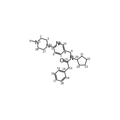 CN1CCN(c2ccc(CN(C(=O)Cc3ccccc3)C3CCCC3)cn2)CC1